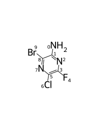 Nc1nc(F)c(Cl)nc1Br